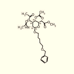 COC(=O)C[C@H]1O[C@@H](OCCCCCOCc2ccccc2)[C@H](NC(C)=O)[C@@H](OC(C)=O)[C@@H]1OC(C)=O